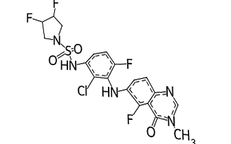 Cn1cnc2ccc(Nc3c(F)ccc(NS(=O)(=O)N4CC(F)C(F)C4)c3Cl)c(F)c2c1=O